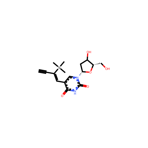 C#C/C(=C/c1cn([C@@H]2CC(O)[C@H](CO)O2)c(=O)[nH]c1=O)[Si](C)(C)C